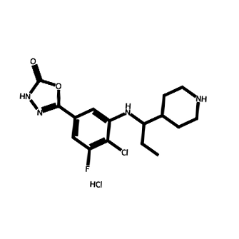 CCC(Nc1cc(-c2n[nH]c(=O)o2)cc(F)c1Cl)C1CCNCC1.Cl